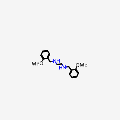 COc1ccccc1CNCCNCc1ccccc1OC